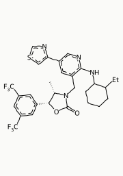 CCC1CCCCC1Nc1ncc(-c2cscn2)cc1CN1C(=O)O[C@H](c2cc(C(F)(F)F)cc(C(F)(F)F)c2)[C@@H]1C